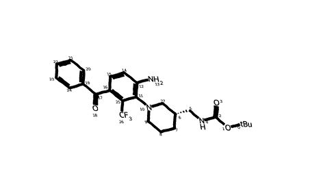 CC(C)(C)OC(=O)NC[C@@H]1CCCN(c2c(N)ccc(C(=O)c3ccccc3)c2C(F)(F)F)C1